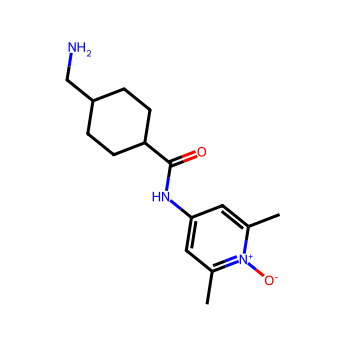 Cc1cc(NC(=O)C2CCC(CN)CC2)cc(C)[n+]1[O-]